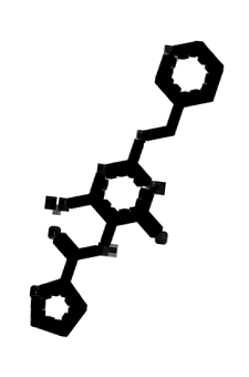 Nc1nc(SCc2cccnc2)[nH]c(=O)c1NC(=O)c1ccco1